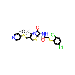 O=C(CSc1cc(Cl)ccc1Cl)N[C@H]1C(=O)N2C(C(=O)O)=C(CSc3ccncc3)CS[C@@H]12